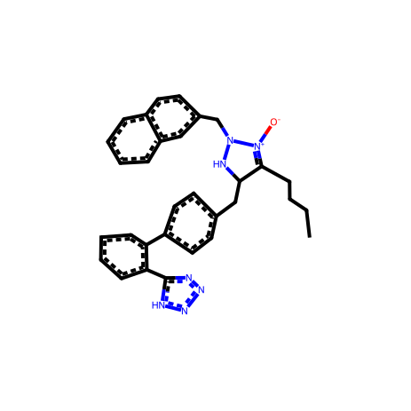 CCCCC1=[N+]([O-])N(Cc2ccc3ccccc3c2)NC1Cc1ccc(-c2ccccc2-c2nnn[nH]2)cc1